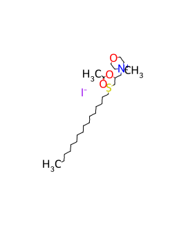 CCCCCCCCCCCCCCCCSCC(C[N+]1(C)CCOCC1)OC(C)=O.[I-]